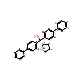 OC(c1ccc(-c2ccccc2)cc1)(c1ccc(-c2ccccc2)cc1)[C@@H]1CCCN1